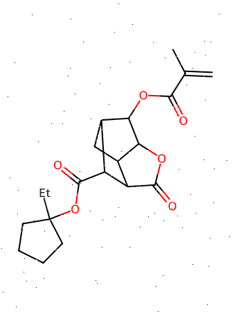 C=C(C)C(=O)OC1C2CC3C1OC(=O)C3C2C(=O)OC1(CC)CCCC1